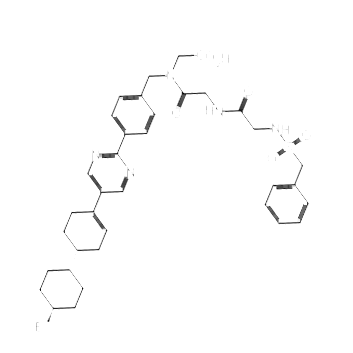 CC[C@H]1CC[C@H](C2CC=C(c3cnc(-c4ccc(CN(CC(=O)O)C(=O)CNC(=O)CNS(=O)(=O)Cc5ccccc5)cc4)nc3)CC2)CC1